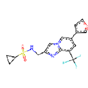 O=S(=O)(NCc1cn2cc(-c3ccoc3)cc(C(F)(F)F)c2n1)C1CC1